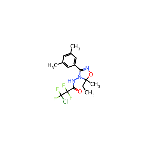 CCC1(C)ON=C(c2cc(C)cc(C)c2)N1NC(=O)C(F)(F)C(F)(F)Cl